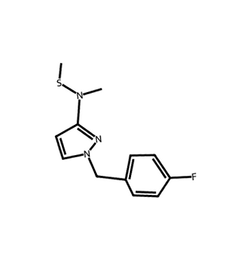 CSN(C)c1ccn(Cc2ccc(F)cc2)n1